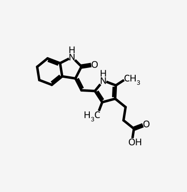 Cc1[nH]c(/C=C2\C(=O)NC3=CCCC=C32)c(C)c1CCC(=O)O